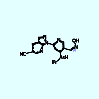 CC(C)[AsH]c1cc(-n2ncc3cc(C#N)cnc32)ncc1/C=N\O